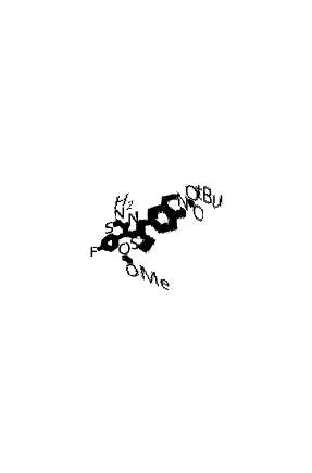 COCCOc1cc(F)ccc1-c1c(C(N)=S)nc(-c2ccc3c(c2)CCN(C(=O)OC(C)(C)C)C3)c2ccsc12